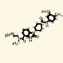 CNCCN(C)C(=O)c1cccc2c1[nH]c(=O)n2[C@H]1CC[C@@H](C(=O)Nc2ccc(C)c(OC)c2)CC1